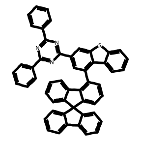 c1ccc(-c2nc(-c3ccccc3)nc(-c3cc(-c4cccc5c4-c4ccccc4C54c5ccccc5-c5ccccc54)c4c(c3)sc3ccccc34)n2)cc1